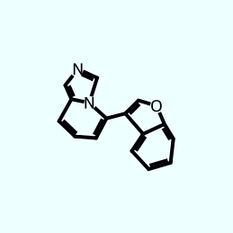 c1ccc2c(-c3cccc4cncn34)coc2c1